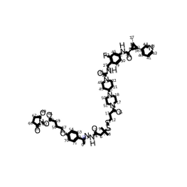 C/C(=N\NC(=O)CC(C)(C)SSCCC(=O)N1CCN(C2CCN(C(=O)NCc3ccc(NC(=O)[C@H]4[C@H](C)[C@@H]4c4cccnc4)cc3F)CC2)CC1)c1ccc(OCCCC(=O)ON2C(=O)CCC2=O)cc1